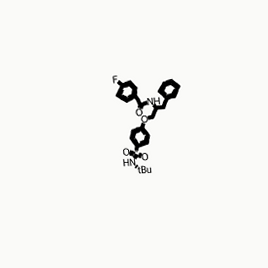 CC(C)(C)NS(=O)(=O)c1ccc(OCC(Cc2ccccc2)NC(=O)c2ccc(F)cc2)cc1